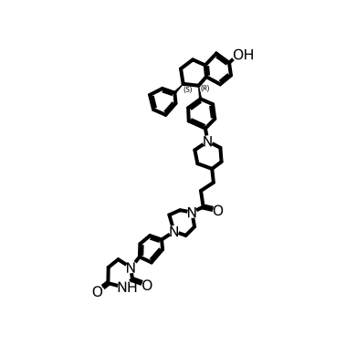 O=C1CCN(c2ccc(N3CCN(C(=O)CCC4CCN(c5ccc([C@@H]6c7ccc(O)cc7CC[C@@H]6c6ccccc6)cc5)CC4)CC3)cc2)C(=O)N1